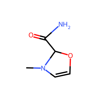 CN1C=COC1C(N)=O